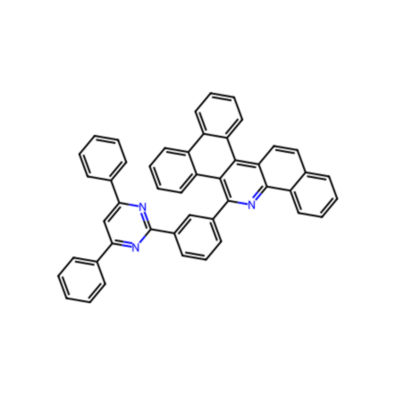 c1ccc(-c2cc(-c3ccccc3)nc(-c3cccc(-c4nc5c6ccccc6ccc5c5c6ccccc6c6ccccc6c45)c3)n2)cc1